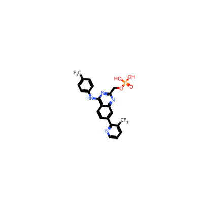 O=P(O)(O)OCc1nc(Nc2ccc(C(F)(F)F)cc2)c2ccc(-c3ncccc3C(F)(F)F)cc2n1